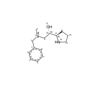 C[SiH](Cc1ccccc1)C[C@H](O)[C@H]1CCCN1